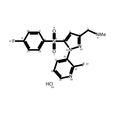 CNCc1cc(S(=O)(=O)c2ccc(F)cc2)n(-c2cccnc2F)n1.Cl